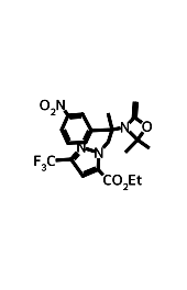 C=C1OC(C)(C)N1C(C)(Cn1nc(C(F)(F)F)cc1C(=O)OCC)c1cccc([N+](=O)[O-])c1